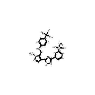 Cn1ncc(-c2nc(-c3cccc(S(C)(=O)=O)c3)no2)c1COc1ccc(C(F)(F)F)cn1